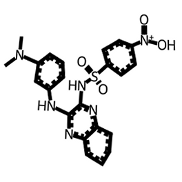 CN(C)c1cccc(Nc2nc3ccccc3nc2NS(=O)(=O)c2ccc([N+](=O)O)cc2)c1